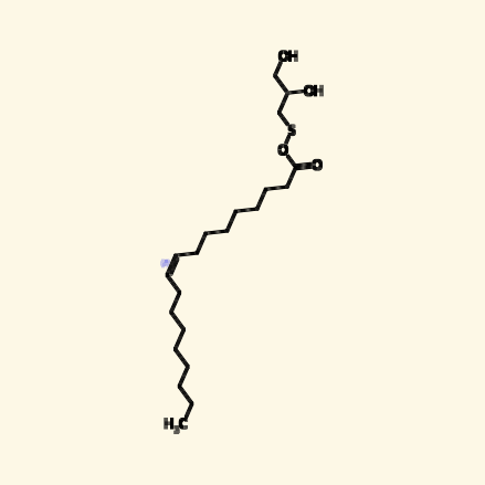 CCCCCCCC/C=C\CCCCCCCC(=O)OSCC(O)CO